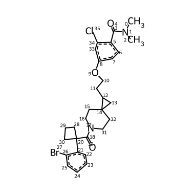 CN(C)C(=O)c1ccc(OCCC2CC23CCN(C(=O)C2(c4ccccc4Br)CCC2)CC3)cc1Cl